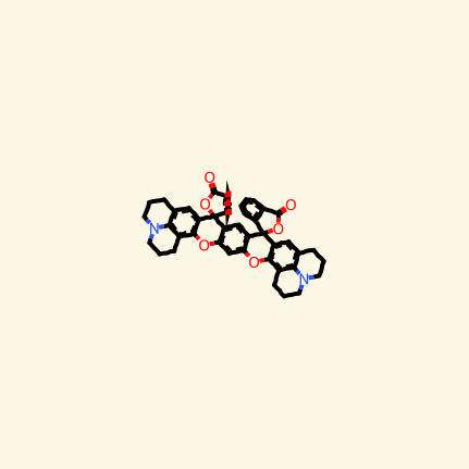 O=C1OC2(c3cc4c(cc3Oc3c2cc2c5c3CCCN5CCC2)Oc2c(cc3c5c2CCCN5CCC3)C42OC(=O)c3ccccc32)c2ccccc21